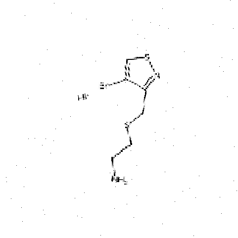 Br.NCCSCc1nscc1Br